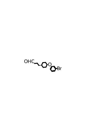 O=CCCC[C@H]1CC[C@H](Oc2cccc(Br)c2)CC1